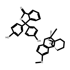 COc1ccc2c(c1)[C@]13CCCC[C@@H]1[C@H](C2)N(C)CC3.O=C1OC(c2ccc(O)cc2)(c2ccc(O)cc2)c2ccccc21